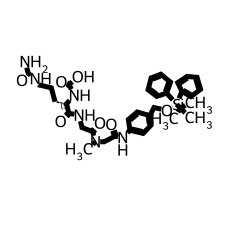 CN(CC(=O)Nc1ccc(CO[Si](c2ccccc2)(c2ccccc2)C(C)(C)C)cc1)C(=O)CNC(=O)[C@H](CCCNC(N)=O)NC(=O)O